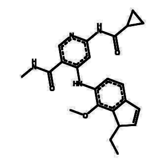 CCC1C=Cc2ccc(Nc3cc(NC(=O)C4CC4)ncc3C(=O)NC)c(OC)c21